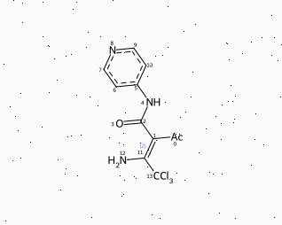 CC(=O)/C(C(=O)Nc1ccncc1)=C(/N)C(Cl)(Cl)Cl